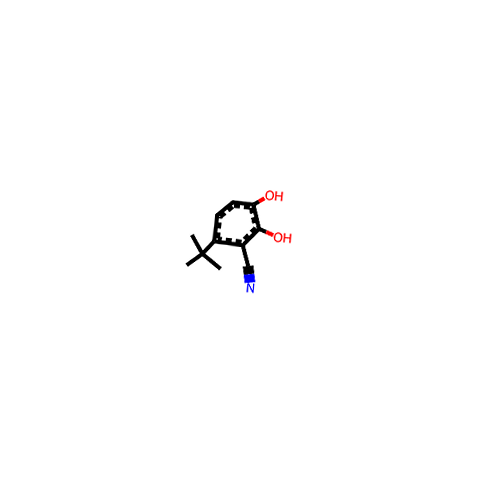 CC(C)(C)c1ccc(O)c(O)c1C#N